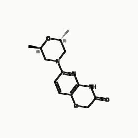 C[C@@H]1CN(c2ccc3c(n2)NC(=O)CO3)C[C@@H](C)O1